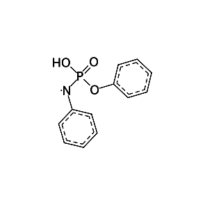 O=P(O)([N]c1ccccc1)Oc1ccccc1